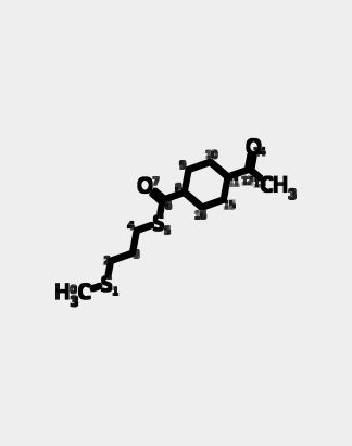 CSCCCSC(=O)C1CCC(C(C)=O)CC1